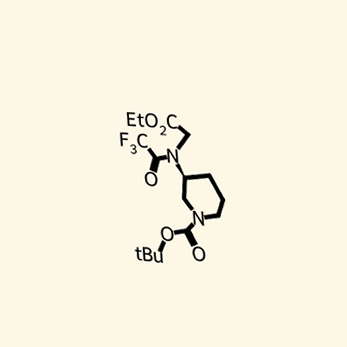 CCOC(=O)CN(C(=O)C(F)(F)F)[C@H]1CCCN(C(=O)OC(C)(C)C)C1